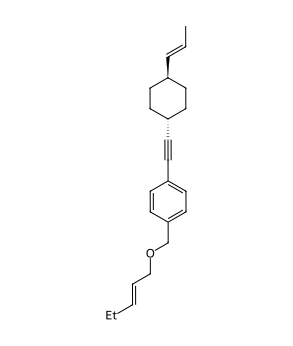 CC=C[C@H]1CC[C@H](C#Cc2ccc(COCC=CCC)cc2)CC1